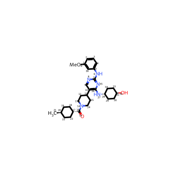 COc1cccc(Nc2ncc(C3CCN(C(=O)[C@H]4CC[C@H](C)CC4)CC3)c(N[C@H]3CC[C@H](O)CC3)n2)c1